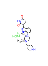 C[C@H]1CN(c2cccc3c(C4CCC(=O)NC4=O)nn(C)c23)CCN1CC1CCNCC1.Cl.Cl